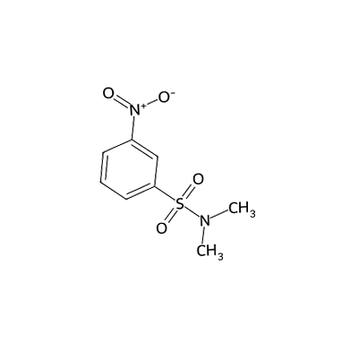 CN(C)S(=O)(=O)c1cccc([N+](=O)[O-])c1